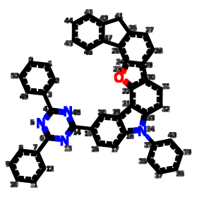 c1ccc(-c2nc(-c3ccccc3)nc(-c3ccc4c(c3)c3c5oc6c7c(ccc6c5ccc3n4-c3ccccc3)Cc3ccccc3-7)n2)cc1